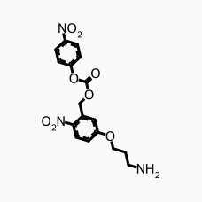 NCCCOc1ccc([N+](=O)[O-])c(COC(=O)Oc2ccc([N+](=O)[O-])cc2)c1